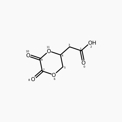 O=C(O)CC1COC(=O)C(=O)O1